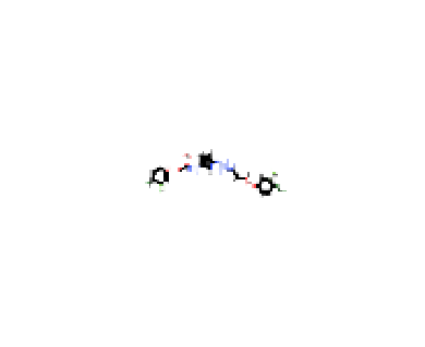 O=C(COc1ccc(Cl)c(F)c1)NC12CCC(NNCCCOc3ccc(Cl)c(F)c3)(C1)C2